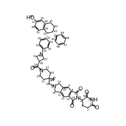 O=C1CCC(N2C(=O)c3cc4c(cc3C2=O)CN(CC2(F)CCN(C(=O)C3CN(c5ccc([C@@H]6c7ccc(O)cc7CC[C@@H]6c6ccccc6)cc5)C3)CC2)C4)C(=O)N1